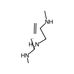 C=C.CNCCN.[CH2]CNC